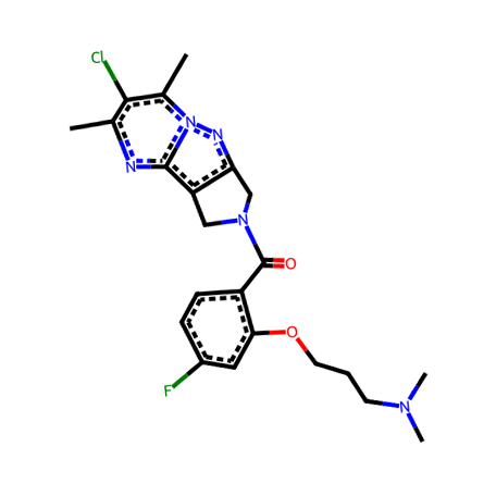 Cc1nc2c3c(nn2c(C)c1Cl)CN(C(=O)c1ccc(F)cc1OCCCN(C)C)C3